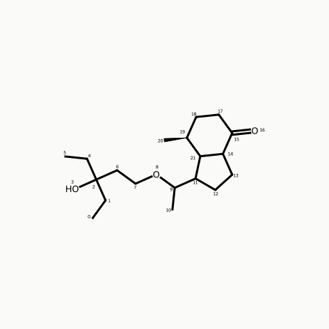 CCC(O)(CC)CCOC(C)C1CCC2C(=O)CC[C@H](C)C21